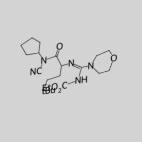 CCOC(=O)NC(=NC(CCC(C)(C)C)C(=O)N(C#N)C1CCCC1)N1CCOCC1